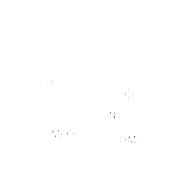 COC(c1ccco1)N(C)OC